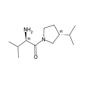 CC(C)[C@H]1CCN(C(=O)[C@H](N)C(C)C)C1